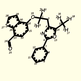 [2H]C([2H])(Cc1nc(-c2ccccc2)oc1C([2H])([2H])[2H])Oc1ccc(C=O)c2sccc12